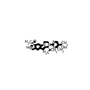 Cc1nc(N2CCn3c(cc4cc(CO)c(S(C)(=O)=O)cc43)[C@H]2C(C)C)ncc1[C@H](C)O